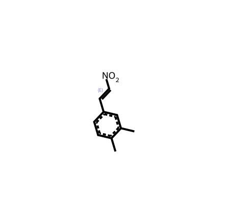 Cc1ccc(/C=C/[N+](=O)[O-])cc1C